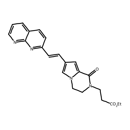 CCOC(=O)CCN1CCn2cc(/C=C/c3ccc4cccnc4n3)cc2C1=O